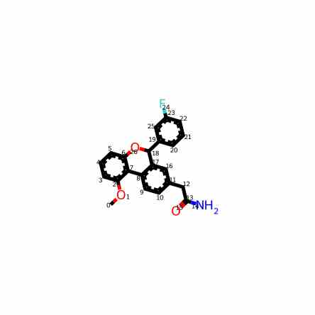 COc1cccc2c1-c1ccc(CC(N)=O)cc1C(c1cccc(F)c1)O2